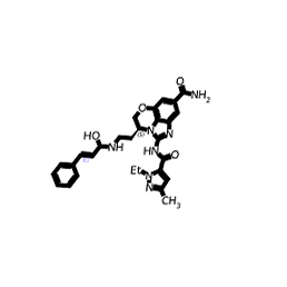 CCn1nc(C)cc1C(=O)Nc1nc2cc(C(N)=O)cc3c2n1[C@@H](CCNC(O)/C=C/c1ccccc1)CO3